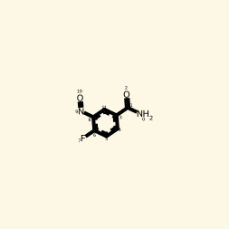 NC(=O)c1ccc(F)c(N=O)c1